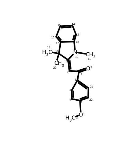 COc1ccc(C(=O)C=C2N(C)c3ccccc3C2(C)C)cc1